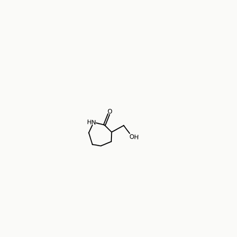 O=C1NCCCCC1CO